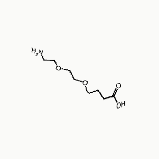 NCCOCCOCCCC(=O)O